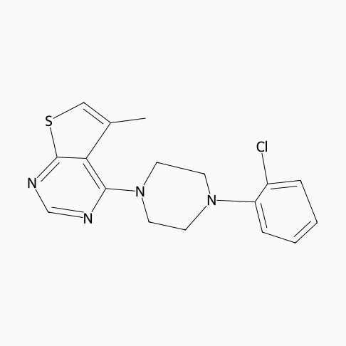 Cc1csc2ncnc(N3CCN(c4ccccc4Cl)CC3)c12